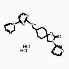 Cl.Cl.O=C1OC2(CCC(CNc3nccc(N4C=CC=NC4)n3)CC2)CN1c1cccnn1